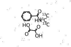 O=C(O)C(=O)O.[13CH3][13CH]([13CH3])NC(=O)c1ccccc1